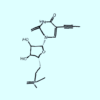 C=C1NC(=O)C(C#CC)=CN1[C@@H]1O[C@H](CCP(=C)(C)C)[C@@H](O)C1O